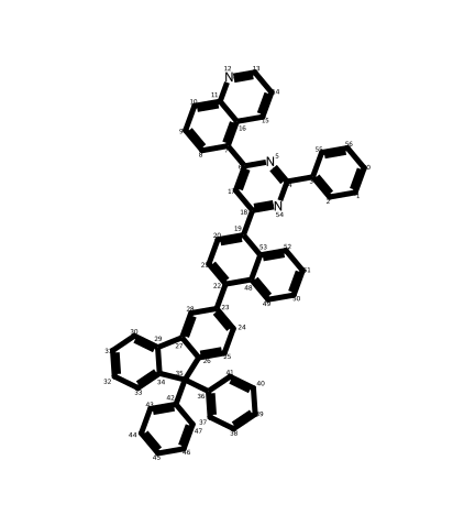 c1ccc(-c2nc(-c3cccc4ncccc34)cc(-c3ccc(-c4ccc5c(c4)-c4ccccc4C5(c4ccccc4)c4ccccc4)c4ccccc34)n2)cc1